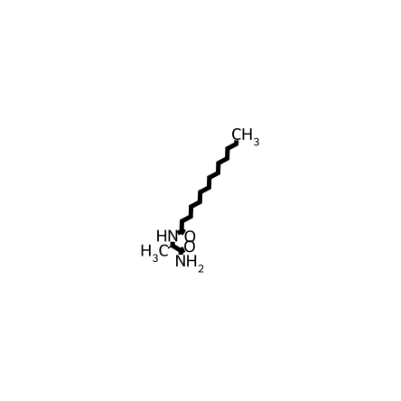 CCCCCCCCCCCCCC(=O)N[C@@H](C)C(N)=O